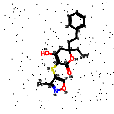 CC(C)CC1(CCc2ccccc2)CC(O)=C(Sc2conc2C(C)C)C(=O)O1